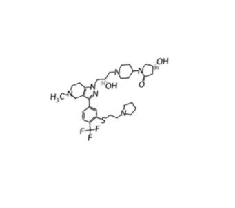 CN1CCc2c(c(-c3ccc(C(F)(F)F)c(SCCN4CCCC4)c3)nn2C[C@@H](O)CN2CCC(N3C[C@H](O)CC3=O)CC2)C1